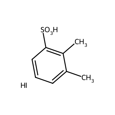 Cc1cccc(S(=O)(=O)O)c1C.I